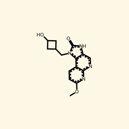 COc1ccc2c(ncc3[nH]c(=O)n(CC4CC(O)C4)c32)n1